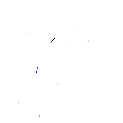 CC(C)(C)[Si](OC[C@H]1O[C@@H](n2cc(I)c3c(N)ncnc32)CC1O)(c1ccccc1)c1ccccc1